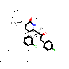 CC(C)[C@@](C)(C(=O)Cc1ccc(Cl)cc1)[C@H]1NC(=O)[C@@H](CC(=O)O)C[C@@H]1c1cccc(Cl)c1